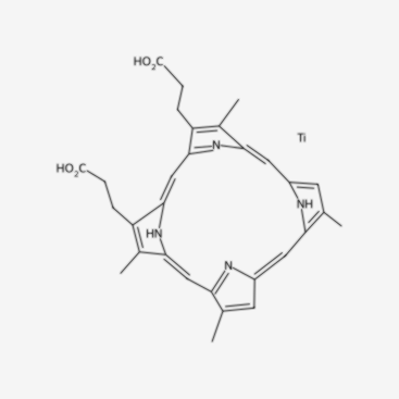 CC1=Cc2cc3[nH]c(cc4nc(cc5[nH]c(cc1n2)c(C)c5CCC(=O)O)C(CCC(=O)O)=C4C)cc3C.[Ti]